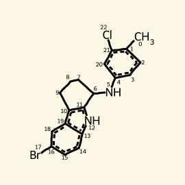 Cc1ccc(NC2CCCc3c2[nH]c2ccc(Br)cc32)cc1Cl